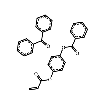 C=CC(=O)Oc1ccc(OC(=O)c2ccccc2)cc1.O=C(c1ccccc1)c1ccccc1